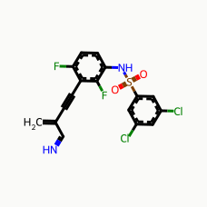 C=C(C#Cc1c(F)ccc(NS(=O)(=O)c2cc(Cl)cc(Cl)c2)c1F)C=N